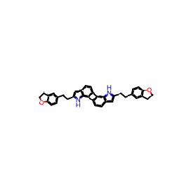 c1cc2c(cc1CCc1cc3ccc4c(c3[nH]1)-c1ccc3cc(CCc5ccc6c(c5)CCO6)[nH]c3c1-4)CCO2